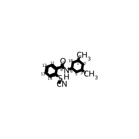 CC1CC(C)CC(NC(=O)c2ccccc2SC#N)C1